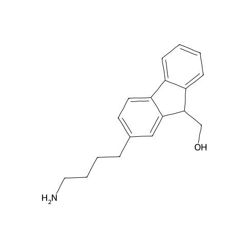 NCCCCc1ccc2c(c1)C(CO)c1ccccc1-2